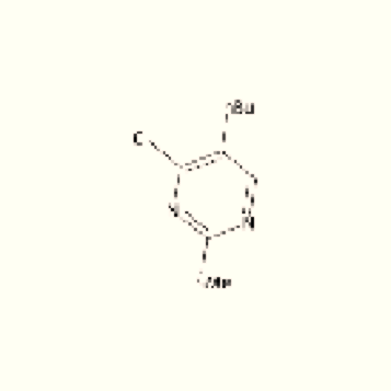 CCCCc1cnc(SC)nc1Cl